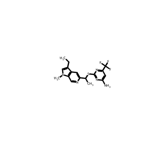 CCc1cn(C)c2cnc(C(C)Sc3nc(N)cc(C(F)(F)F)n3)cc12